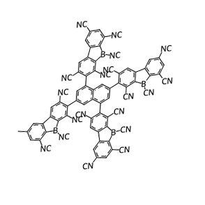 [C-]#[N+]B1c2c([N+]#[C-])cc(C#N)cc2-c2cc(C#N)c(-c3cc(-c4c([N+]#[C-])cc5c(c4[N+]#[C-])B([N+]#[C-])c4c([N+]#[C-])cc(C)cc4-5)cc4c(-c5c([N+]#[C-])cc6c(c5C#N)B(C#N)c5c(C#N)cc([N+]#[C-])cc5-6)cc(-c5c(C#N)cc6c(c5C#N)B(C#N)c5c(C#N)cc([N+]#[C-])cc5-6)cc34)c([N+]#[C-])c21